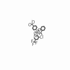 COC(=O)c1ccc(S(=O)(=O)N(c2ncc(C(F)(F)F)cc2Cl)C(C)c2ccccc2)cc1